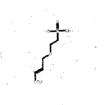 O=C(O)C=CCOCCP(=O)(O)O